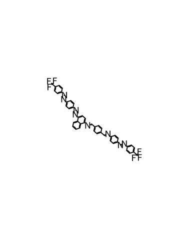 FC(F)(F)c1ccc(/N=N/c2ccc(/N=C/c3ccc(/C=N/c4ccc(/N=N/c5ccc(/N=N/c6ccc(C(F)(F)F)cc6)cc5)c5ccccc45)cc3)cc2)cc1